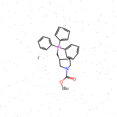 CC(C)(C)OC(=O)N1CC[C@H](C[P+](c2ccccc2)(c2ccccc2)c2ccccc2)C1.[I-]